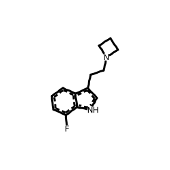 Fc1cccc2c(CCN3CCC3)c[nH]c12